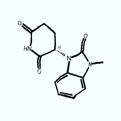 Cn1c(=O)n([C@H]2CCC(=O)NC2=O)c2ccccc21